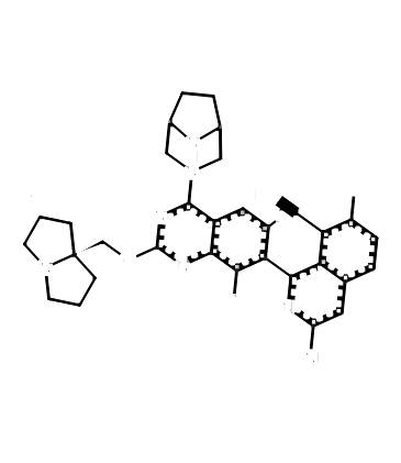 C#Cc1c(F)ccc2cc(N)nc(-c3c(F)cc4c(N5CC6CCC(C5)N6)nc(OC[C@@]56CCCN5C[C@H](F)C6)nc4c3F)c12